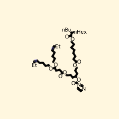 CC/C=C\CCCCOC(CCC(=O)OCCCC(CCCOC(=O)CCCCCCCOC(=O)C(CCCC)CCCCCC)OC(=O)n1ccnc1)OCCCC/C=C\CC